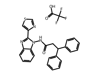 O=C(CC(c1ccccc1)c1ccccc1)Nn1c(-c2cscn2)nc2ccccc21.O=C(O)C(F)(F)F